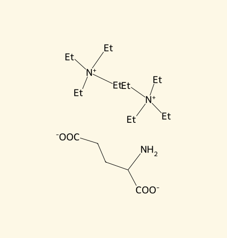 CC[N+](CC)(CC)CC.CC[N+](CC)(CC)CC.NC(CCC(=O)[O-])C(=O)[O-]